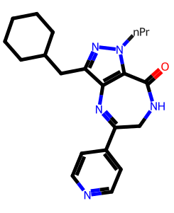 CCCn1nc(CC2CCCCC2)c2c1C(=O)NCC(c1ccncc1)=N2